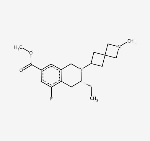 CC[C@@H]1Cc2c(F)cc(C(=O)OC)cc2CN1C1CC2(C1)CN(C)C2